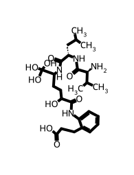 CC(C)C[C@H](NC(=O)[C@@H](N)C(C)C)C(=O)NC(CCC(O)C(=O)Nc1ccccc1CCC(=O)O)C(O)(O)O